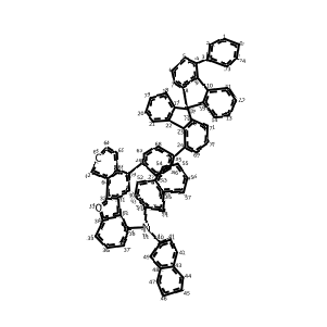 c1ccc(-c2cccc3c2-c2ccccc2C32c3ccccc3-c3c(-c4ccc(-c5cc6c(oc7cccc(N(c8ccc9ccccc9c8)c8ccc9ccccc9c8)c76)c6ccccc56)cc4)cccc32)cc1